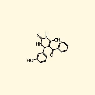 CC1=C(C(=O)c2ccccc2)C(c2cccc(O)c2)NC(=S)N1